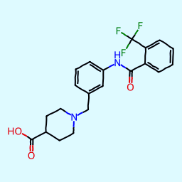 O=C(Nc1cccc(CN2CCC(C(=O)O)CC2)c1)c1ccccc1C(F)(F)F